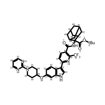 CC(C)(C)OC(=O)C1(NC(=O)c2ccc(-c3c[nH]c4cc(OC5CCN(c6ncccn6)CC5)ccc34)nc2C(F)(F)F)C2CC3CC(C2)CC1C3